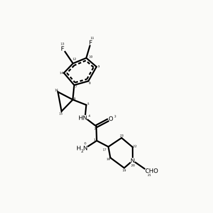 NC(C(=O)NCC1(c2ccc(F)c(F)c2)CC1)C1CCN(C=O)CC1